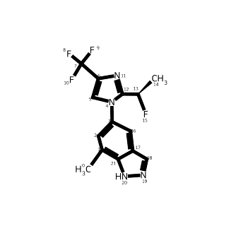 Cc1cc(-n2cc(C(F)(F)F)nc2[C@@H](C)F)cc2cn[nH]c12